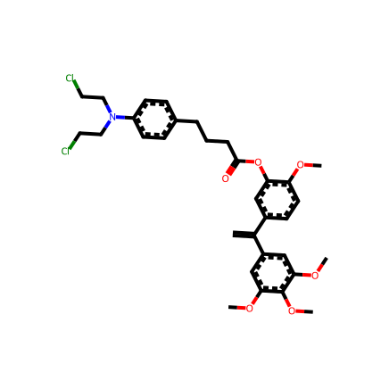 C=C(c1ccc(OC)c(OC(=O)CCCc2ccc(N(CCCl)CCCl)cc2)c1)c1cc(OC)c(OC)c(OC)c1